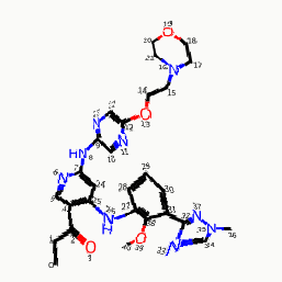 CCC(=O)c1cnc(Nc2cnc(OCCN3CCOCC3)cn2)cc1Nc1cccc(-c2ncn(C)n2)c1OC